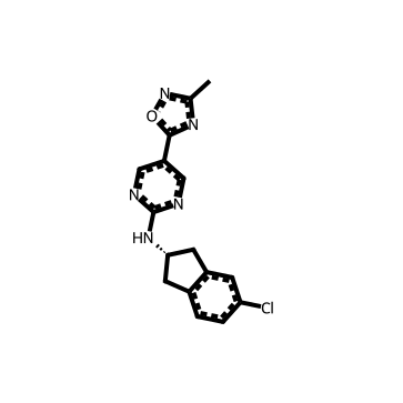 Cc1noc(-c2cnc(N[C@H]3Cc4ccc(Cl)cc4C3)nc2)n1